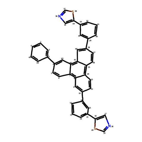 c1ccc(-c2ccc3c4cc(-c5cccc(-c6cncs6)c5)ccc4c4ccc(-c5cccc(-c6cncs6)c5)cc4c3c2)cc1